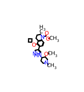 COC(=O)N1c2ccc(/C(C=N)=C/NC3CCN(C)CC3OC)c(OC3CCC3)c2CC[C@@H]1C